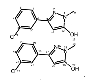 Cn1nc(-c2cccc(Cl)c2)cc1O.Cn1nc(-c2cccc(Cl)c2)cc1O